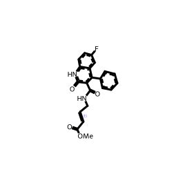 COC(=O)/C=C/CNC(=O)c1c(-c2ccccc2)c2cc(F)ccc2[nH]c1=O